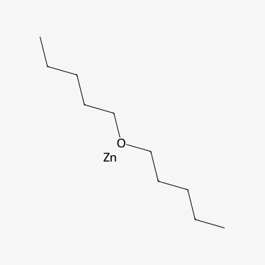 CCCCCOCCCCC.[Zn]